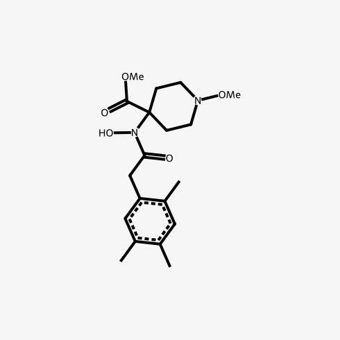 COC(=O)C1(N(O)C(=O)Cc2cc(C)c(C)cc2C)CCN(OC)CC1